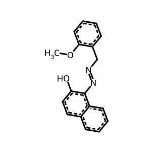 COc1ccccc1CN=Nc1c(O)ccc2ccccc12